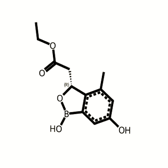 CCOC(=O)C[C@H]1OB(O)c2cc(O)cc(C)c21